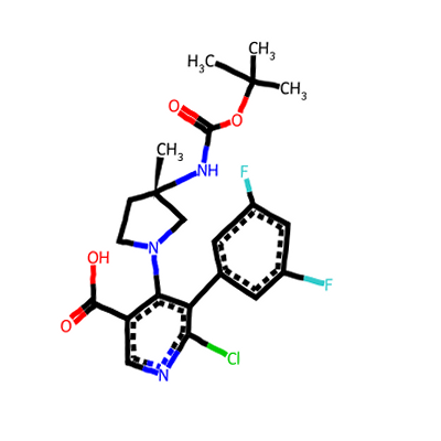 CC(C)(C)OC(=O)N[C@@]1(C)CCN(c2c(C(=O)O)cnc(Cl)c2-c2cc(F)cc(F)c2)C1